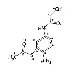 CCC(=O)Nc1ccc(C)c(SC(C)=O)c1